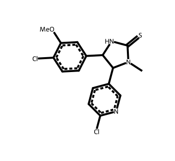 COc1cc(C2NC(=S)N(C)C2c2ccc(Cl)nc2)ccc1Cl